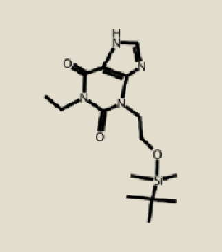 CCn1c(=O)c2[nH]cnc2n(CCO[Si](C)(C)C(C)(C)C)c1=O